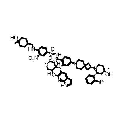 CC(C)c1ccccc1[C@@H]1C[C@](C)(O)CCN1C1CC2(CCN(c3ccc(C(=O)NS(=O)(=O)c4ccc(NCC5CCC(C)(O)CC5)c([N+](=O)[O-])c4)c(N4c5cc6cc[nH]c6nc5O[C@H]5COCC[C@@H]54)c3)CC2)C1